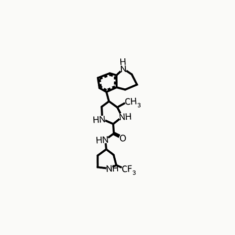 CC1NC(C(=O)NC2CCNC(C(F)(F)F)C2)NCC1c1cccc2c1CCCN2